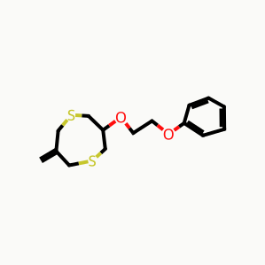 C=C1CSCC(OCCOc2ccccc2)CSC1